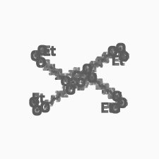 CCOC1OC1OCCCCCCCOC1c2ccc3c4c(ccc(c24)C1OCCCCCCCOC1OC1OCC)C(OCCCCCCCOC1OC1OCC)C3OCCCCCCCOC1OC1OCC